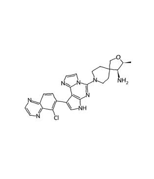 C[C@@H]1OCC2(CCN(c3nc4[nH]cc(-c5ccc6nccnc6c5Cl)c4c4nccn34)CC2)[C@@H]1N